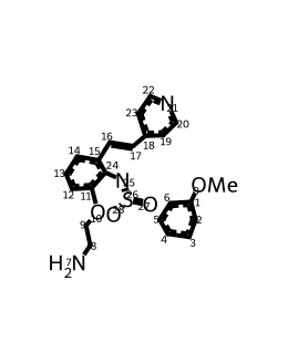 COc1ccccc1.NCCOc1cccc(C=Cc2ccncc2)c1N=S(=O)=O